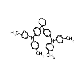 CC1=CC=C(N(c2ccc(C)cc2)c2ccc(C3(c4ccc(N(c5ccc(C)cc5)c5ccc(C)cc5)cc4)CCCCC3)cc2)CC1